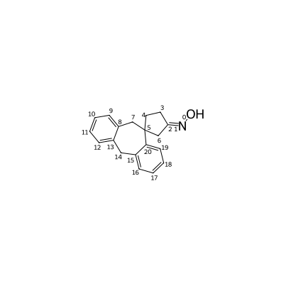 ON=C1CCC2(C1)Cc1ccccc1Cc1ccccc12